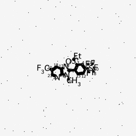 CC[S+]([O-])c1cc(S(F)(F)(F)(F)F)ccc1-c1nc2cc(C(F)(F)F)cnc2n1C